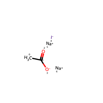 CC(=O)[O-].[I-].[Na+].[Na+]